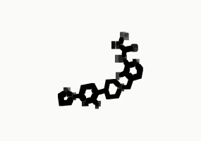 CCNC(=O)Nc1nccc(CN2CCC(c3ccc(-n4cccn4)nc3F)CC2)c1F